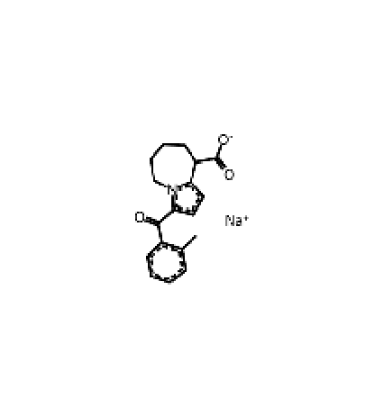 Cc1ccccc1C(=O)c1ccc2n1CCCCC2C(=O)[O-].[Na+]